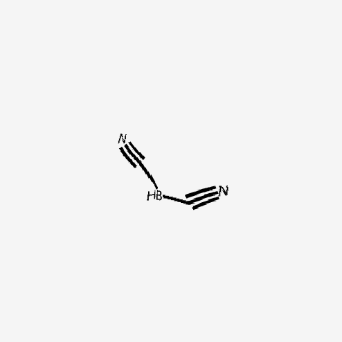 N#CBC#N